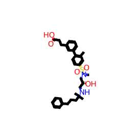 Cc1cc(S(=O)(=O)N(C)C[C@H](O)CNC(C)(C)CCCc2ccccc2)ccc1-c1cccc(CCC(=O)O)c1